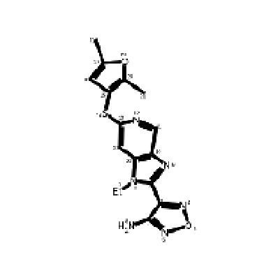 CCn1c(-c2nonc2N)nc2cnc(Sc3cc(C)oc3C)cc21